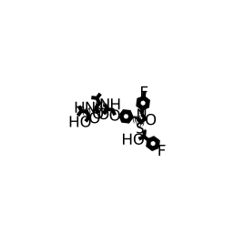 CC(C)[C@H](NC(=O)[C@H](NC(=O)COc1ccc([C@@H]2[C@@H](SCC(O)c3ccc(F)cc3)C(=O)N2c2ccc(F)cc2)cc1)C(C)C)C(=O)O